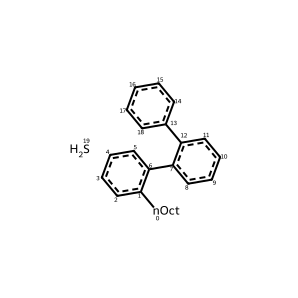 CCCCCCCCc1ccccc1-c1ccccc1-c1ccccc1.S